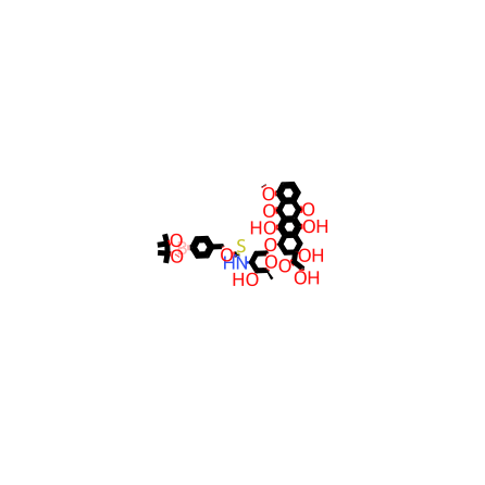 COc1cccc2c1C(=O)c1c(O)c3c(c(O)c1C2=O)C[C@@](O)(C(=O)CO)C[C@@H]3O[C@H]1C[C@H](NC(=S)OCc2ccc(B3OC(C)(C)C(C)(C)O3)cc2)[C@H](O)[C@H](C)O1